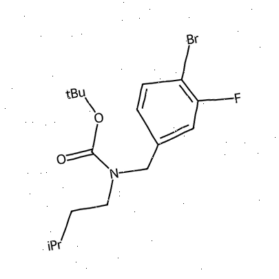 CC(C)CCN(Cc1ccc(Br)c(F)c1)C(=O)OC(C)(C)C